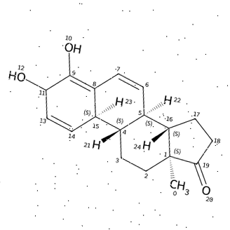 C[C@]12CC[C@H]3[C@@H](C=CC4=C(O)C(O)C=C[C@@H]43)[C@@H]1CCC2=O